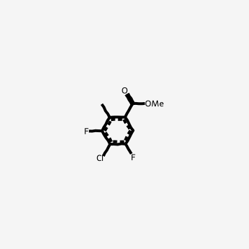 COC(=O)c1cc(F)c(Cl)c(F)c1C